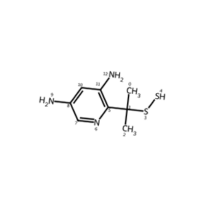 CC(C)(SS)c1ncc(N)cc1N